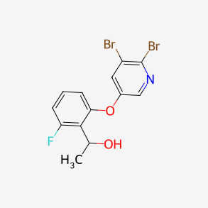 CC(O)c1c(F)cccc1Oc1cnc(Br)c(Br)c1